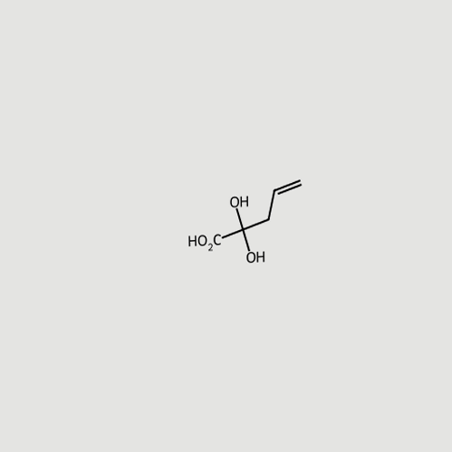 C=CCC(O)(O)C(=O)O